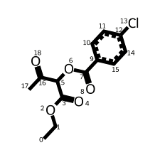 CCOC(=O)C(OC(=O)c1ccc(Cl)cc1)C(C)=O